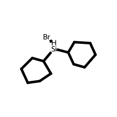 Br[SiH](C1CCCCC1)C1CCCCC1